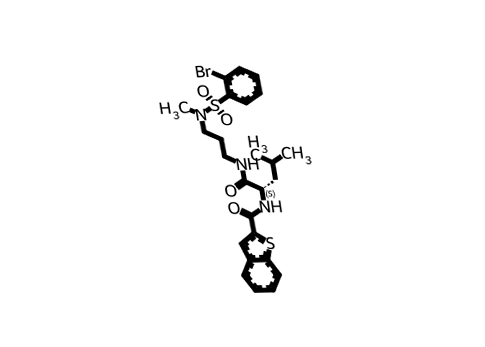 CC(C)C[C@H](NC(=O)c1cc2ccccc2s1)C(=O)NCCCN(C)S(=O)(=O)c1ccccc1Br